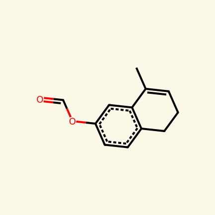 CC1=CCCc2ccc(OC=O)cc21